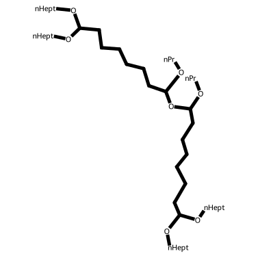 CCCCCCCOC(CCCCCCC(OCCC)OC(CCCCCCC(OCCCCCCC)OCCCCCCC)OCCC)OCCCCCCC